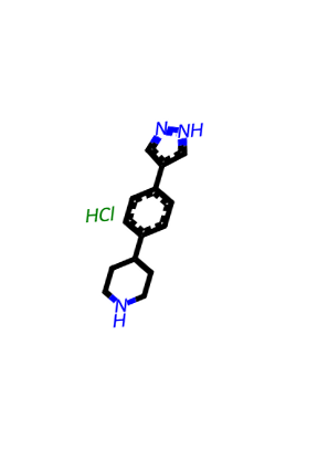 Cl.c1cc(C2CCNCC2)ccc1-c1cn[nH]c1